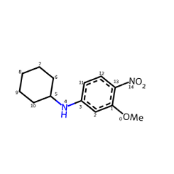 COc1cc(NC2CCCCC2)ccc1[N+](=O)[O-]